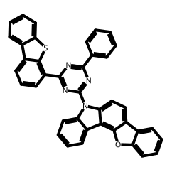 c1ccc(-c2nc(-c3cccc4c3sc3ccccc34)nc(-n3c4ccccc4c4c5oc6ccccc6c5ccc43)n2)cc1